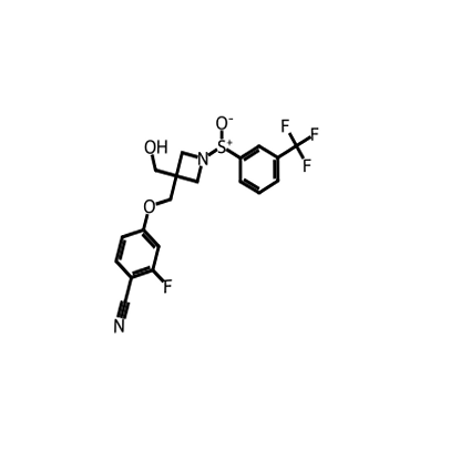 N#Cc1ccc(OCC2(CO)CN([S+]([O-])c3cccc(C(F)(F)F)c3)C2)cc1F